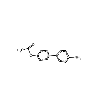 CC(=O)Oc1ccc(-c2ccc(N)cc2)cc1